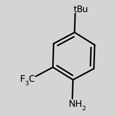 CC(C)(C)c1ccc(N)c(C(F)(F)F)c1